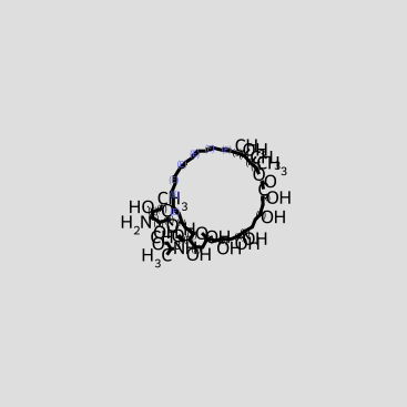 COCC(C)NC(=O)[C@H]1[C@@H]2C[C@@H](O[C@@H]3O[C@H](C)[C@@H](O)[C@H](N)[C@@H]3O)/C=C/C=C/C=C/C=C/C=C/C=C/C=C/[C@H](C)[C@@H](O)[C@@H](C)[C@H](C)OC(=O)C[C@H](O)C[C@H](O)CC[C@@H](O)[C@H](O)C[C@H](O)C[C@](O)(C[C@@H]1O)O2